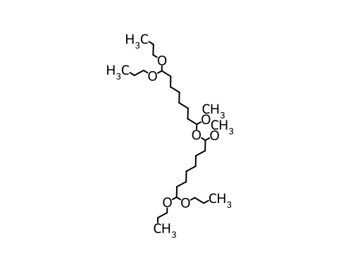 CCCOC(CCCCCCC(OC)OC(CCCCCCC(OCCC)OCCC)OC)OCCC